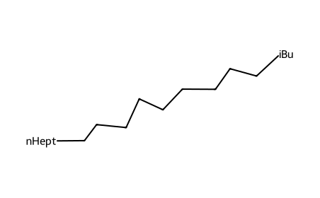 C[CH]C(C)CCCCCCCCCCCCCCCC